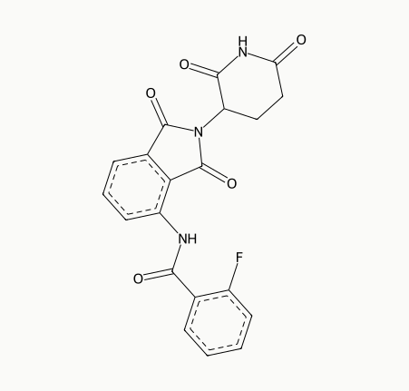 O=C1CCC(N2C(=O)c3cccc(NC(=O)c4ccccc4F)c3C2=O)C(=O)N1